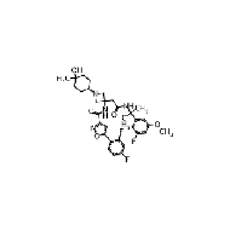 COc1cc(F)cc(C(C)(C)NC(=O)CC2(NC(=O)c3cc(-c4ccc(F)cc4F)on3)CN(C3CCC(C)(O)CC3)C2)c1